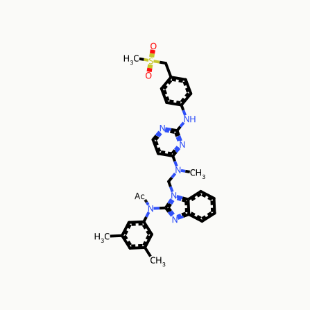 CC(=O)N(c1cc(C)cc(C)c1)c1nc2ccccc2n1CN(C)c1ccnc(Nc2ccc(CS(C)(=O)=O)cc2)n1